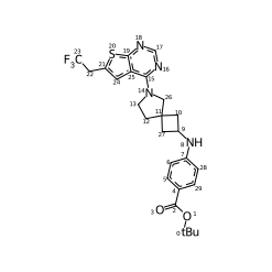 CC(C)(C)OC(=O)c1ccc(NC2CC3(CCN(c4ncnc5sc(CC(F)(F)F)cc45)C3)C2)cc1